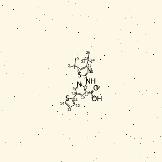 CC(C)c1sc(Nc2ncc(-c3cccs3)cc2C(=O)O)nc1C(C)(C)C